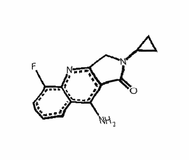 Nc1c2c(nc3c(F)cccc13)CN(C1CC1)C2=O